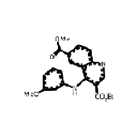 CCOC(=O)c1cnc2ccc(C(=O)OC)cc2c1Nc1cccc(OC)c1